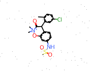 Cc1ccc(Cl)cc1C1C(=O)[N+](C)(C)Oc2cc(NS(C)(=O)=O)ccc21